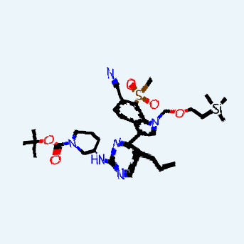 C=CCc1cnc(N[C@H]2CCCN(C(=O)OC(C)(C)C)C2)nc1-c1cn(COCC[Si](C)(C)C)c2c(S(C)(=O)=O)c(C#N)ccc12